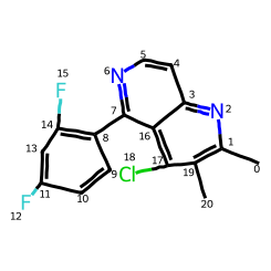 Cc1nc2ccnc(-c3ccc(F)cc3F)c2c(Cl)c1C